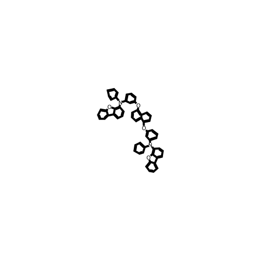 c1ccc(N(c2cccc(Oc3cccc4c(Oc5cccc(N(c6ccccc6)c6cccc7c6oc6ccccc67)c5)cccc34)c2)c2cccc3c2oc2ccccc23)cc1